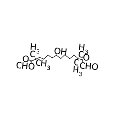 CC(C)(CCCCC(O)CCCCC(C)(C)C(=O)C=O)C(=O)C=O